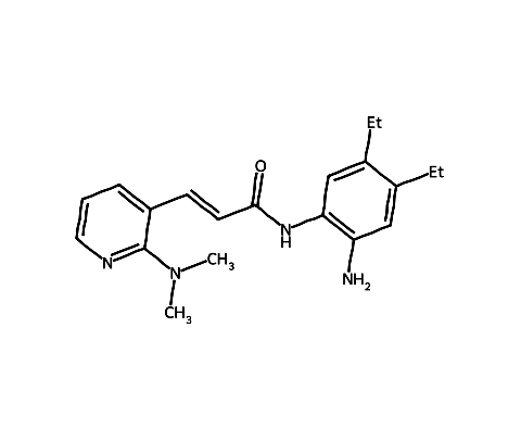 CCc1cc(N)c(NC(=O)/C=C/c2cccnc2N(C)C)cc1CC